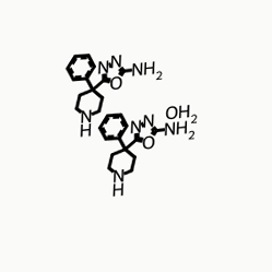 Nc1nnc(C2(c3ccccc3)CCNCC2)o1.Nc1nnc(C2(c3ccccc3)CCNCC2)o1.O